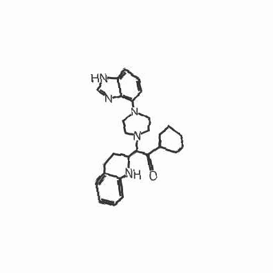 O=C(C1CCCCC1)C(C1CCc2ccccc2N1)N1CCN(c2cccc3[nH]cnc23)CC1